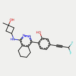 CC1(O)CC(Nc2nnc(-c3ccc(C#CC(F)F)cc3O)c3c2CCCC3)C1